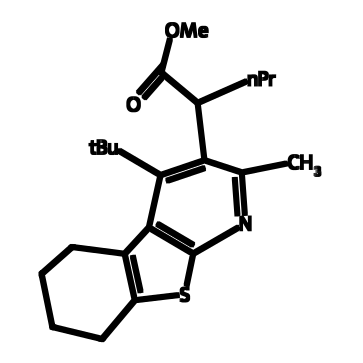 CCCC(C(=O)OC)c1c(C)nc2sc3c(c2c1C(C)(C)C)CCCC3